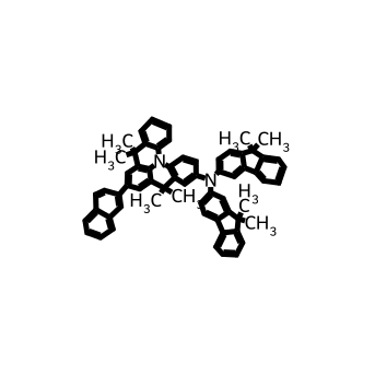 CC1(C)c2ccccc2-c2cc(N(c3ccc4c(c3)C(C)(C)c3ccccc3-4)c3ccc4c(c3)C(C)(C)c3cc(-c5ccc6ccccc6c5)cc5c3N4c3ccccc3C5(C)C)ccc21